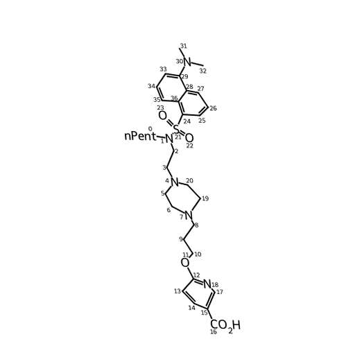 CCCCCN(CCN1CCN(CCCOc2ccc(C(=O)O)cn2)CC1)S(=O)(=O)c1cccc2c(N(C)C)cccc12